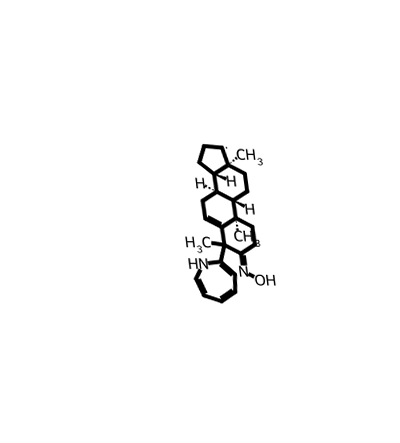 CC1(C2=CC=CC=CN2)C2=CC[C@H]3[C@@H]4CC[CH][C@@]4(C)CC[C@@H]3[C@@]2(C)CCC1=NO